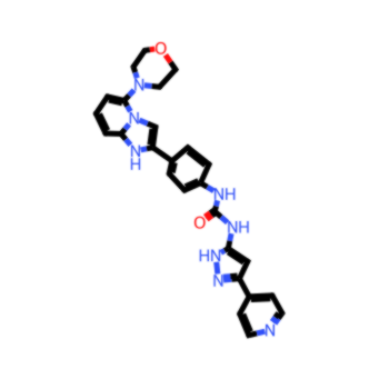 O=C(Nc1ccc(C2=CN3C(N4CCOCC4)=CC=CC3N2)cc1)Nc1cc(-c2ccncc2)n[nH]1